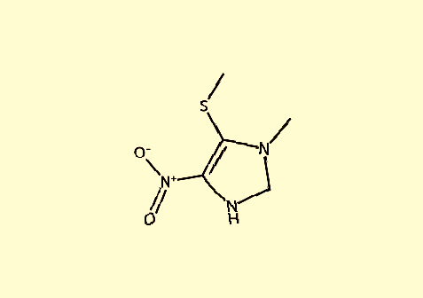 CSC1=C([N+](=O)[O-])NCN1C